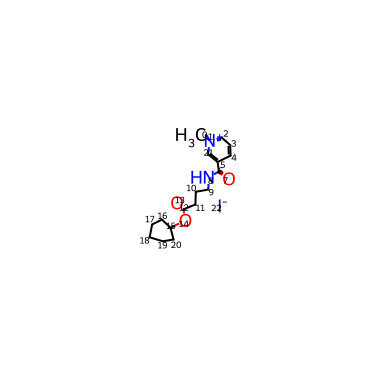 C[n+]1cccc(C(=O)NCCCC(=O)OC2CCCCC2)c1.[I-]